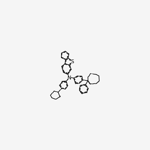 c1ccc(C2(c3ccc(N(c4ccc(C5CCCCC5)cc4)c4ccc5c(c4)sc4ccccc45)cc3)CCCCCCC2)cc1